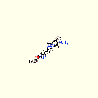 C=CC=C(CC)[C@@H](N)[C@H](C)NCCCCCCNC(=O)OC(C)(C)C